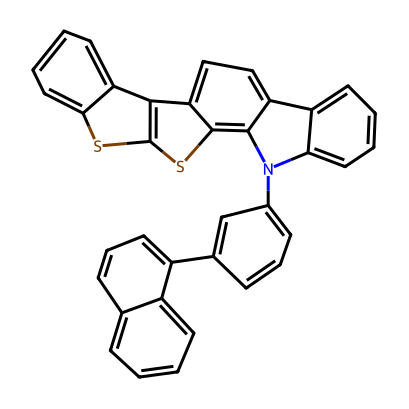 c1cc(-c2cccc3ccccc23)cc(-n2c3ccccc3c3ccc4c(sc5sc6ccccc6c54)c32)c1